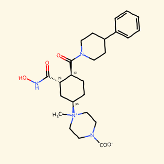 C[N+]1([C@@H]2CC[C@H](C(=O)N3CCC(c4ccccc4)CC3)[C@@H](C(=O)NO)C2)CCN(C(=O)[O-])CC1